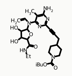 C=CN(c1nc(C#CCC2CCN(C(=O)OCC(C)C)CC2)nc(N)c1C)C1OC(C(=O)NCC)C(O)C1O